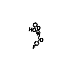 O=C(CCN1C[C@@H](O)[C@H](Oc2ccccc2)C1)c1ccc(F)cc1